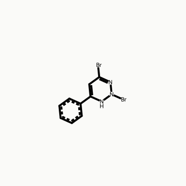 BrC1=NN(Br)NC(c2ccccc2)=C1